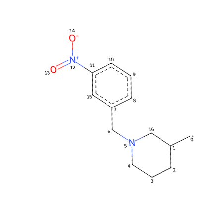 [CH2]C1CCCN(Cc2cccc([N+](=O)[O-])c2)C1